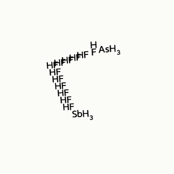 F.F.F.F.F.F.F.F.F.F.F.F.[AsH3].[SbH3]